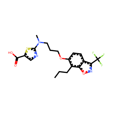 CCCc1c(OCCCN(C)c2ncc(C(=O)O)s2)ccc2c(C(F)(F)F)noc12